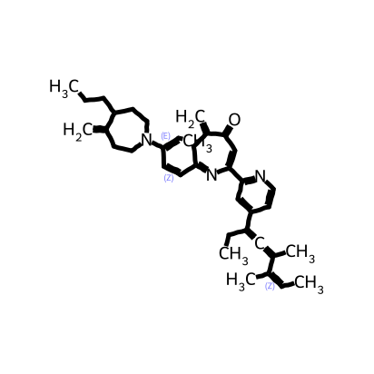 C=C1CC(/C=C\C(=C/C)N2CCC(=C)C(CCC)CC2)=NC(c2cc(C(=C=C(C)/C(C)=C\C)CC)ccn2)=CC1=O